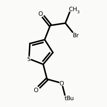 CC(Br)C(=O)c1csc(C(=O)OC(C)(C)C)c1